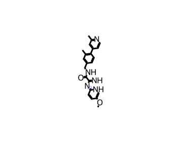 COc1cc/c(=N/C(=N)C(=O)NCc2ccc(-c3ccnc(C)c3)c(C)c2)[nH]c1